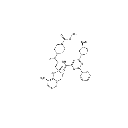 CCCCOC(=O)N1CCN(C(=O)[C@H](CP2(=O)Nc3c(C)cccc3CO2)NC(=O)c2cc(N3CC[C@H](OC)C3)nc(-c3ccccc3)n2)CC1